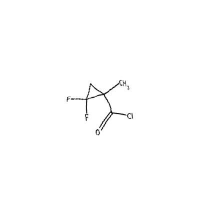 CC1(C(=O)Cl)CC1(F)F